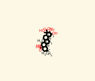 CC1(C)CC[C@]2(C(=O)O)[C@H](O)C[C@]3(C)C(=CC[C@@H]4[C@@]5(C)C[C@H](O)[C@H](O)C(CO)(C(=O)O)C5CC[C@]43C)[C@H]2C1